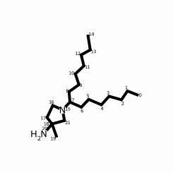 CCCCCCCC(CCCCCCC)N1CCC(C)(N)C1